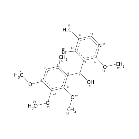 COc1cc(C)c(C(O)c2c(OC)ncc(C)c2Br)c(OC)c1OC